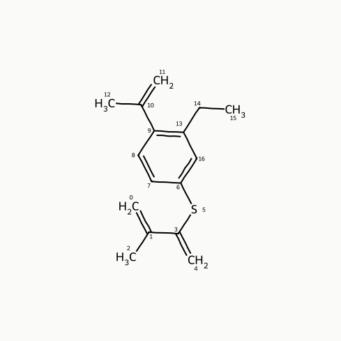 C=C(C)C(=C)Sc1ccc(C(=C)C)c(CC)c1